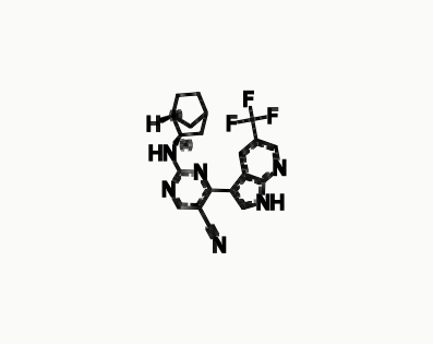 N#Cc1cnc(N[C@@H]2CC3CC[C@@H]2C3)nc1-c1c[nH]c2ncc(C(F)(F)F)cc12